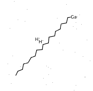 CCCCCCCCCCCCCCCCC[CH2][Ga].[H-].[H-]